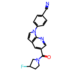 N#Cc1ccc(-n2ccc3cc(C(=O)N4CCC(F)C4)cnc32)cc1